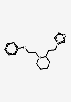 c1ccc(OCCN2CCCCC2CCn2ccnc2)cc1